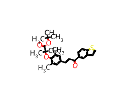 Cc1cc(/C=C/C(=O)c2ccc3sccc3c2)cc(C)c1OC(C)(C)C(=O)OC(C)(C)C